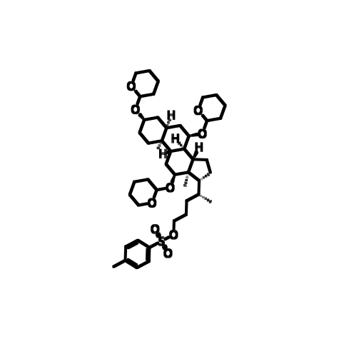 Cc1ccc(S(=O)(=O)OCCC[C@@H](C)[C@H]2CC[C@H]3[C@@H]4[C@H](OC5CCCCO5)C[C@@H]5C[C@H](OC6CCCCO6)CC[C@]5(C)[C@H]4C[C@H](OC4CCCCO4)[C@]23C)cc1